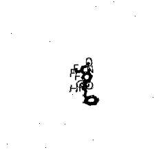 Cn1c(=O)cc(C(F)(F)F)c2cc(S(=O)(=O)NCCc3ccccc3)ccc21